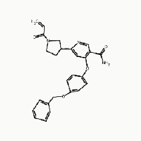 C=CC(=O)N1CCC(c2cc(Oc3ccc(OCc4ccccc4)cc3)c(C(N)=O)cn2)C1